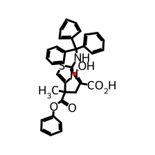 CC(CC(=NO)C(=O)O)(C(=O)Oc1ccccc1)c1csc(NC(c2ccccc2)(c2ccccc2)c2ccccc2)n1